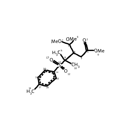 COC(=O)CC(C(OC)OC)C(C)(C)S(=O)(=O)c1ccc(C)cc1